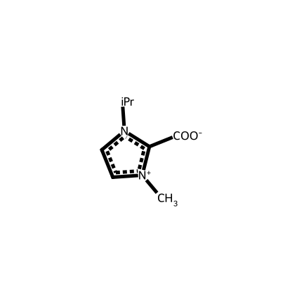 CC(C)n1cc[n+](C)c1C(=O)[O-]